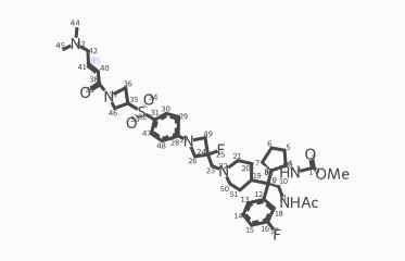 COC(=O)N[C@H]1CCC[C@@H]1[C@](CNC(C)=O)(c1cccc(F)c1)C1CCN(CC2(F)CN(c3ccc(S(=O)(=O)C4CN(C(=O)/C=C/CN(C)C)C4)cc3)C2)CC1